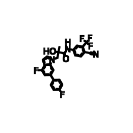 CC(O)(Cn1ccc2c(F)cc(-c3ccc(F)cc3)cc21)C(=O)Nc1ccc(C#N)c(C(F)(F)F)c1